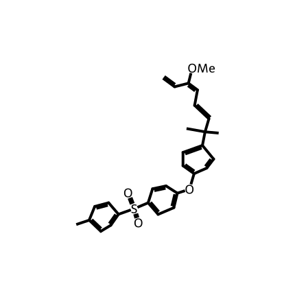 C=C/C(=C\C=C\C(C)(C)c1ccc(Oc2ccc(S(=O)(=O)c3ccc(C)cc3)cc2)cc1)OC